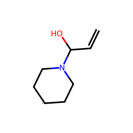 C=CC(O)N1CC[CH]CC1